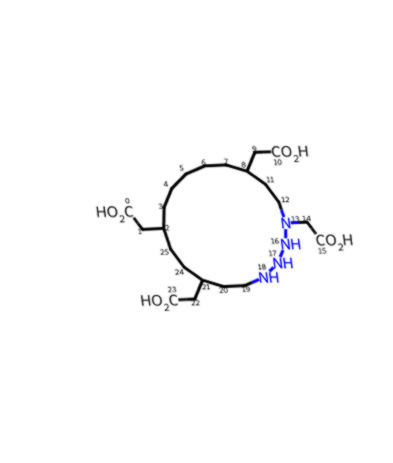 O=C(O)CC1CCCCCC(CC(=O)O)CCN(CC(=O)O)NNNCCC(CC(=O)O)CC1